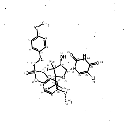 COc1ccc(OSP(=O)(OC[C@@]2(C(F)F)O[C@@H](n3cc(Cl)c(=O)[nH]c3=O)[C@H](O)C2(F)F)Oc2ccc(OC)cc2)cc1